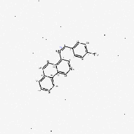 Fc1ccc(/C=N\c2cncc3c2ccc2ccccc23)cc1